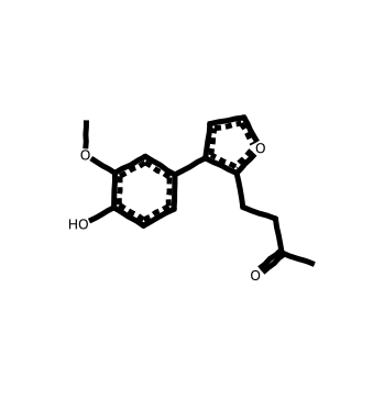 COc1cc(-c2ccoc2CCC(C)=O)ccc1O